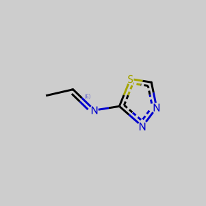 C/C=N/c1nncs1